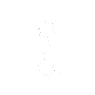 Cc1cccc(COc2cc(F)cc(F)c2)c1